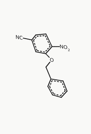 N#Cc1ccc([N+](=O)[O-])c(OCc2ccccc2)c1